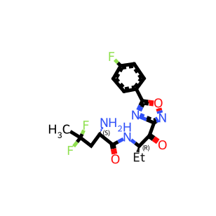 CC[C@@H](NC(=O)[C@@H](N)CC(C)(F)F)C(=O)c1noc(-c2ccc(F)cc2)n1